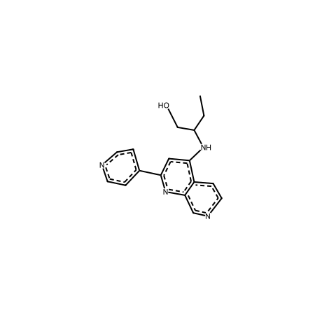 CCC(CO)Nc1cc(-c2ccncc2)nc2cnccc12